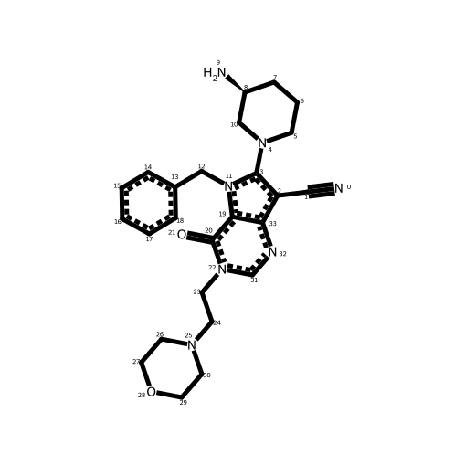 N#Cc1c(N2CCC[C@H](N)C2)n(Cc2ccccc2)c2c(=O)n(CCN3CCOCC3)cnc12